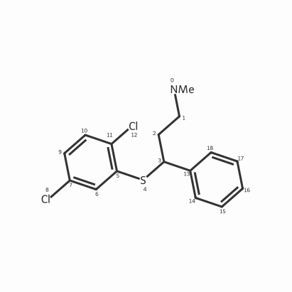 CNCCC(Sc1cc(Cl)ccc1Cl)c1ccccc1